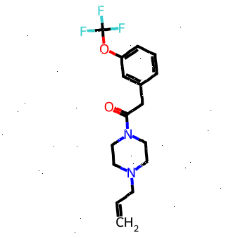 C=CCN1CCN(C(=O)Cc2cccc(OC(F)(F)F)c2)CC1